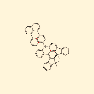 CC1(C)c2ccccc2-c2ccc(N(c3ccc(-c4cccc5cccc(-c6ccccc6)c45)cc3)c3ccccc3-c3cccc4c3-c3ccccc3C4(C)C)cc21